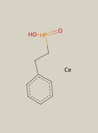 O=[PH](O)CCc1ccccc1.[Ce]